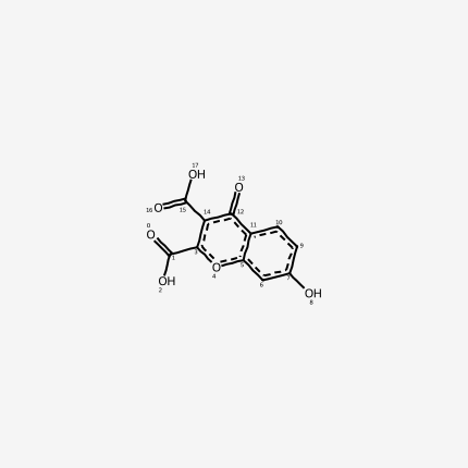 O=C(O)c1oc2cc(O)ccc2c(=O)c1C(=O)O